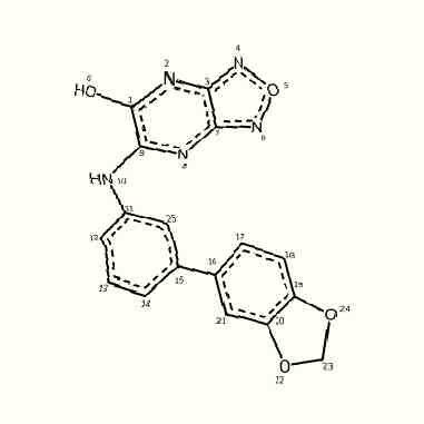 Oc1nc2nonc2nc1Nc1cccc(-c2ccc3c(c2)OCO3)c1